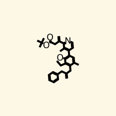 C=C(Cc1ccccc1)Cc1c(C)cc(-c2ccnc(C(=C)CC(=O)OC(C)(C)C)c2C)c2c1CCO2